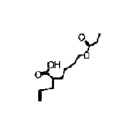 C=CCC(CCCCOC(=O)CC)C(=O)O